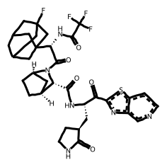 O=C1NCC[C@H]1C[C@H](NC(=O)[C@@H]1[C@H]2CC[C@H](C2)N1C(=O)[C@@H](NC(=O)C(F)(F)F)C12CC3CC(CC(F)(C3)C1)C2)C(=O)c1nc2cnccc2s1